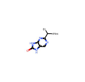 CCCCCCC(CC)c1ncc2[nH]c(=O)[nH]c2n1